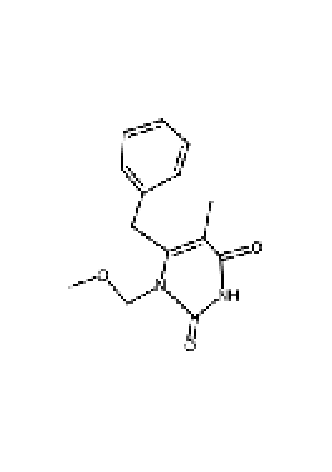 COCn1c(Cc2ccccc2)c(C)c(=O)[nH]c1=O